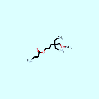 CC=CC(=O)OCCCC(CC)(CC)CO[SiH3]